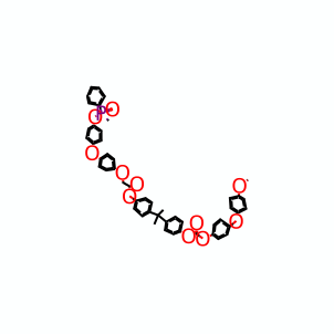 COc1ccc(Oc2ccc(OC(=O)Oc3ccc(C(C)(C)c4ccc(OC(=O)COc5ccc(Oc6ccc(OP(C)(=O)c7ccccc7)cc6)cc5)cc4)cc3)cc2)cc1